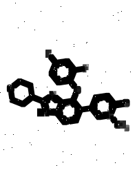 Cn1cc(-c2ccc3[nH]c(C4CCOCC4)nc3c2Oc2ccc(F)cc2F)ccc1=O